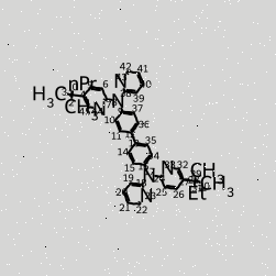 CCCC(C)(C)c1ccc(N(c2ccc(-c3ccc(N(c4ccccn4)c4ccc(C(C)(C)CC)cn4)cc3)cc2)c2ccccn2)nc1